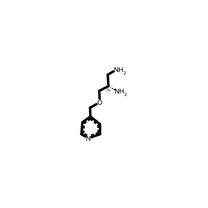 NC[C@H](N)COCc1ccncc1